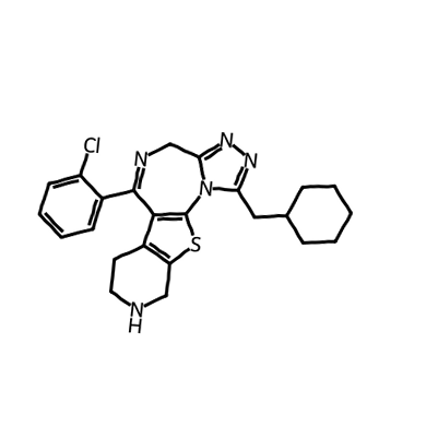 Clc1ccccc1C1=NCc2nnc(CC3CCCCC3)n2-c2sc3c(c21)CCNC3